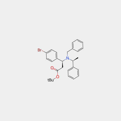 C[C@@H](c1ccccc1)N(Cc1ccccc1)[C@@H](CC(=O)OC(C)(C)C)c1ccc(Br)cc1